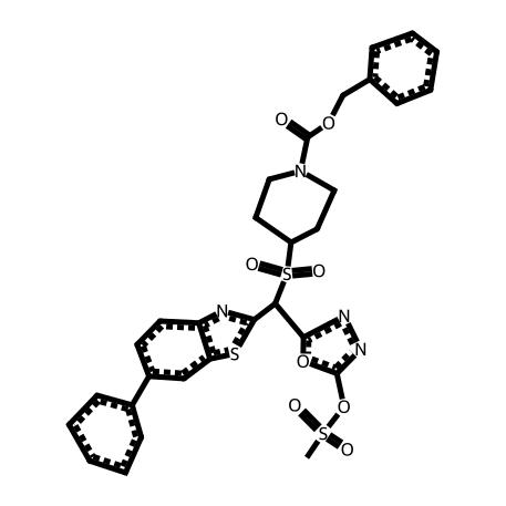 CS(=O)(=O)Oc1nnc(C(c2nc3ccc(-c4ccccc4)cc3s2)S(=O)(=O)C2CCN(C(=O)OCc3ccccc3)CC2)o1